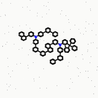 c1ccc(-c2cccc(-c3ccc(N(c4ccc(-c5cccc(-c6cccc(-c7cccc8c(-c9cccc(N(c%10ccc(-c%11cccc(-c%12ccccc%12)c%11)cc%10)c%10cccc%11c%10-c%10ccccc%10C%11(c%10ccccc%10)c%10ccccc%10)c9)cccc78)c6)c5)cc4)c4cccc(-c5cccc6ccccc56)c4)cc3)c2)cc1